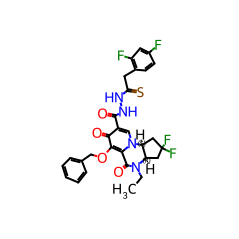 CCN1C(=O)c2c(OCc3ccccc3)c(=O)c(C(=O)NNC(=S)Cc3ccc(F)cc3F)cn2[C@H]2CC(F)(F)C[C@H]21